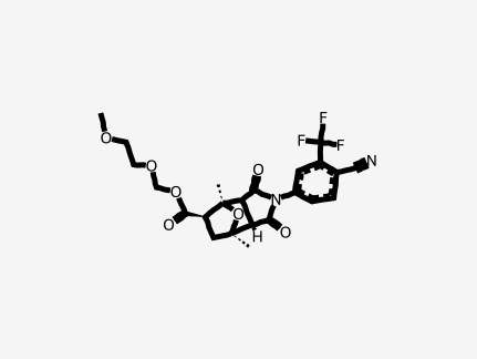 COCCOCOC(=O)[C@@H]1C[C@@]2(C)O[C@]1(C)C1C(=O)N(c3ccc(C#N)c(C(F)(F)F)c3)C(=O)[C@@H]12